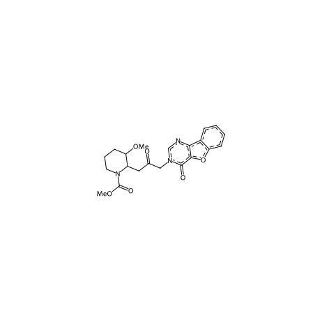 COC(=O)N1CCCC(OC)C1CC(=O)Cn1cnc2c(oc3ccccc32)c1=O